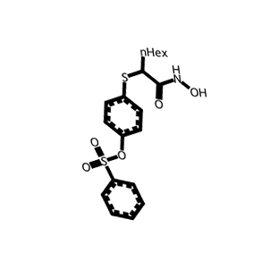 CCCCCCC(Sc1ccc(OS(=O)(=O)c2ccccc2)cc1)C(=O)NO